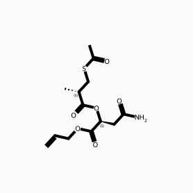 C=CCOC(=O)[C@H](CC(N)=O)OC(=O)[C@H](C)CSC(C)=O